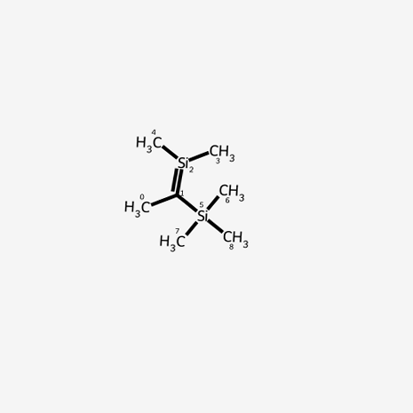 CC(=[Si](C)C)[Si](C)(C)C